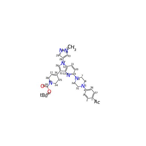 CC(=O)c1ccc(N2CCN(c3ccc4c(n3)c(C3=CCN(C(=O)OC(C)(C)C)CC3)cn4-c3cnn(C)c3)CC2)cc1